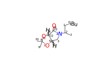 CCC(C)CC(C)N1C[C@@H]2OC(C)(C)O[C@@H]2C1=O